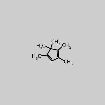 CC1=[C]C(C)=C(C)C1(C)C